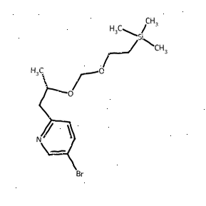 CC(Cc1ccc(Br)cn1)OCOCC[Si](C)(C)C